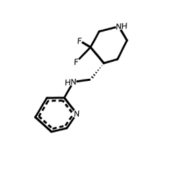 FC1(F)CNCC[C@@H]1CNc1ccccn1